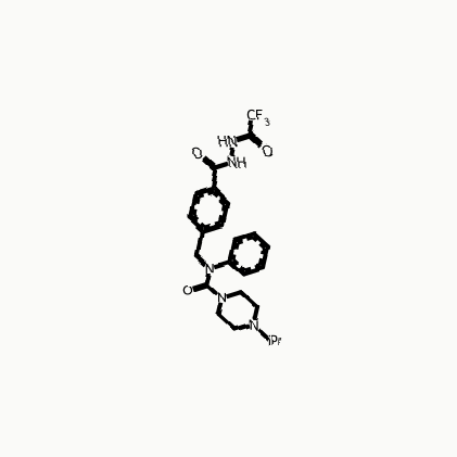 CC(C)N1CCN(C(=O)N(Cc2ccc(C(=O)NNC(=O)C(F)(F)F)cc2)c2ccccc2)CC1